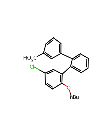 CCCCOc1ccc(Cl)cc1-c1ccccc1-c1cccc(C(=O)O)c1